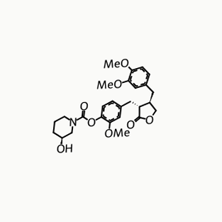 COc1ccc(C[C@H]2COC(=O)[C@@H]2Cc2ccc(OC(=O)N3CCC[C@H](O)C3)c(OC)c2)cc1OC